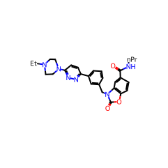 CCCNC(=O)c1ccc2oc(=O)n(Cc3cccc(-c4ccc(N5CCN(CC)CC5)nn4)c3)c2c1